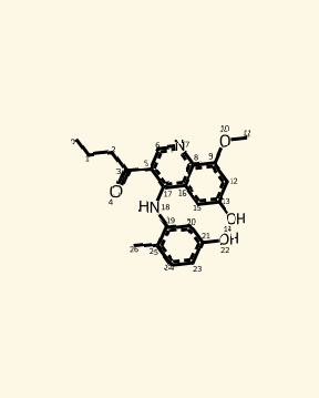 CCCC(=O)c1cnc2c(OC)cc(O)cc2c1Nc1cc(O)ccc1C